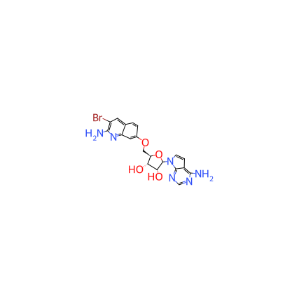 Nc1nc2cc(OC[C@H]3OC(n4ccc5c(N)ncnc54)[C@H](O)[C@@H]3O)ccc2cc1Br